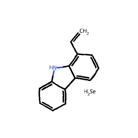 C=Cc1cccc2c1[nH]c1ccccc12.[SeH2]